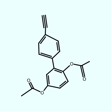 C#Cc1ccc(-c2cc(OC(C)=O)ccc2OC(C)=O)cc1